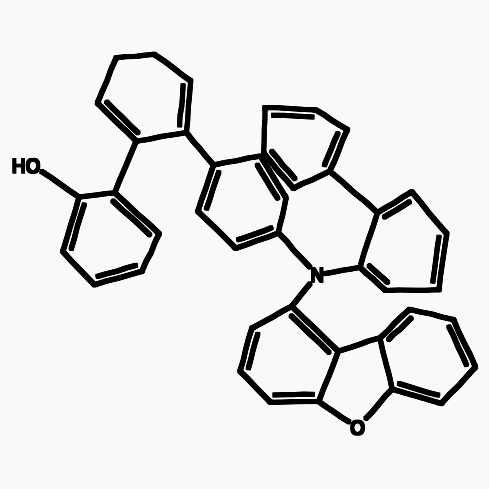 Oc1ccccc1C1=CCCC=C1c1ccc(N(c2ccccc2-c2ccccc2)c2cccc3oc4ccccc4c23)cc1